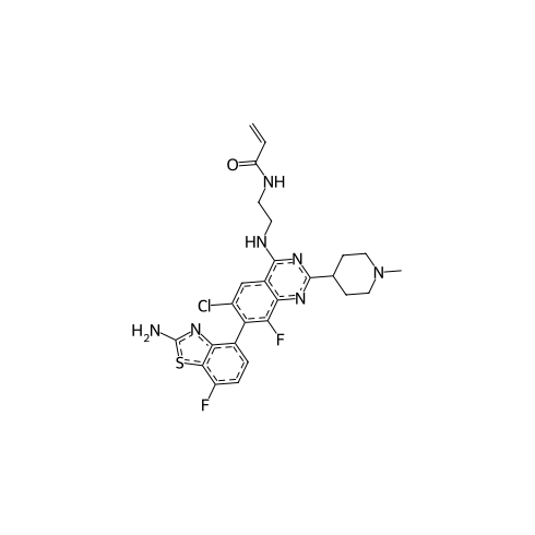 C=CC(=O)NCCNc1nc(C2CCN(C)CC2)nc2c(F)c(-c3ccc(F)c4sc(N)nc34)c(Cl)cc12